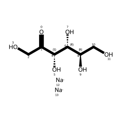 O=C(CO)[C@@H](O)[C@H](O)[C@H](O)CO.[Na].[Na]